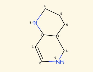 C1=CC2[N]CCCC2CN1